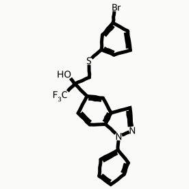 OC(CSc1cccc(Br)c1)(c1ccc2c(cnn2-c2ccccc2)c1)C(F)(F)F